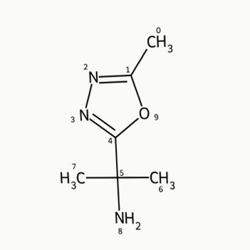 Cc1nnc(C(C)(C)N)o1